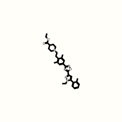 CCOC(=O)C1CCN(CCc2c(C)cc(-c3noc(-c4cc(-c5ccccc5C)n(CC)n4)n3)cc2C)CC1